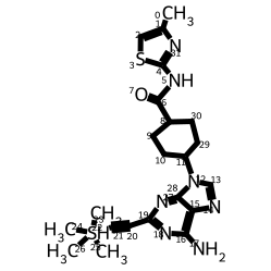 Cc1csc(NC(=O)C2CCC(n3cnc4c(N)nc(C#C[SH](C)(C)(C)C)nc43)CC2)n1